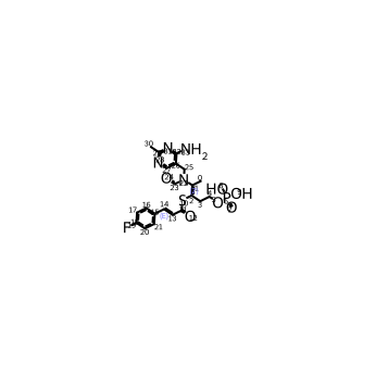 C/C(=C(\CCOP(=O)(O)O)SC(=O)/C=C/c1ccc(F)cc1)N(C=O)Cc1cnc(C)nc1N